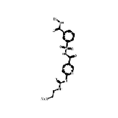 CCNC(=O)c1cccc(S(=O)(=O)NC(=O)c2ccc(OC(=O)NCCOC)nc2)c1